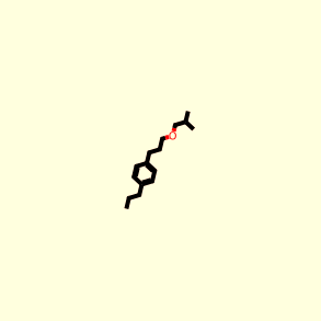 CCCc1ccc(CCCOCC(C)C)cc1